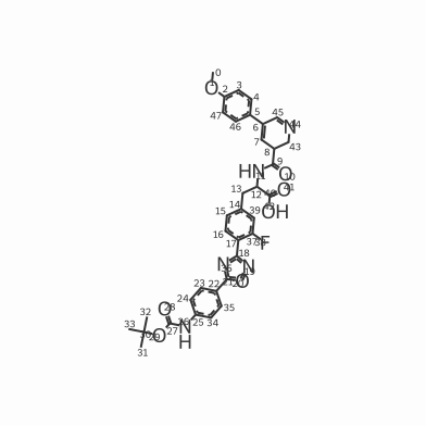 COc1ccc(C2=CC(C(=O)NC(Cc3ccc(-c4noc(-c5ccc(NC(=O)OC(C)(C)C)cc5)n4)c(F)c3)C(=O)O)CN=C2)cc1